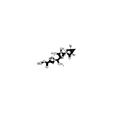 Cc1c(C(C)n2cc(C(=O)OC(C)(C)C)nn2)nc(N2C[C@H]3C[C@H]3C2=O)n1C